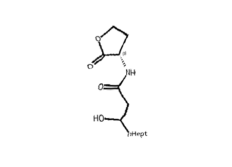 CCCCCCCC(O)CC(=O)N[C@H]1CCOC1=O